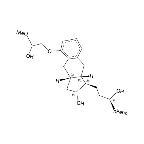 CCCCC[C@H](O)CC[C@@H]1[C@H]2Cc3cccc(OCC(O)OC)c3C[C@H]2C[C@H]1O